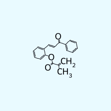 C=C(C)C(=O)Oc1ccccc1C=CC(=O)c1ccccc1